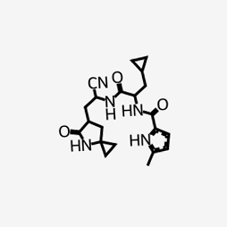 Cc1ccc(C(=O)NC(CC2CC2)C(=O)NC(C#N)CC2CC3(CC3)NC2=O)[nH]1